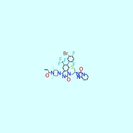 C=CC(=O)N1[C@H](C)CN(c2nc(=O)n3c4c(c(-c5cc(Br)c(F)cc5F)c(C(F)(F)F)cc24)SC[C@@H](n2nc4ccccn4c2=O)C3)C[C@@H]1C